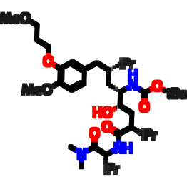 COCCCOc1cc(C[C@@H](C[C@H](NC(=O)OC(C)(C)C)[C@@H](O)C[C@H](C(=O)N[C@H](C(=O)N(C)C)C(C)C)C(C)C)C(C)C)ccc1OC